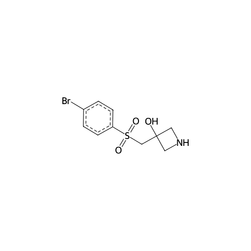 O=S(=O)(CC1(O)CNC1)c1ccc(Br)cc1